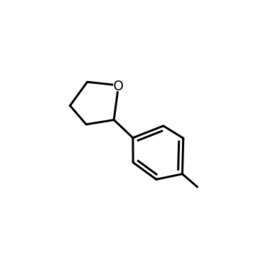 Cc1ccc(C2CCCO2)cc1